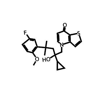 COc1ccc(F)cc1C(C)(C)CC(O)(Cn1ccc(=O)c2sccc21)C1CC1